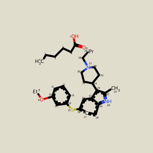 CCCCCC(=O)O.CCOc1cccc(Sc2ccc3[nH]c(C)c(C4CCN(CC(C)C)CC4)c3c2)c1